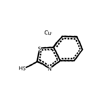 Sc1nc2ccccc2s1.[Cu]